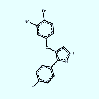 N#Cc1cc(Oc2c[nH]nc2-c2ccc(F)cc2)ccc1Br